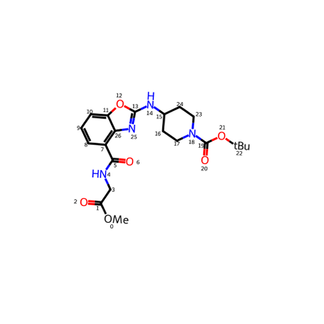 COC(=O)CNC(=O)c1cccc2oc(NC3CCN(C(=O)OC(C)(C)C)CC3)nc12